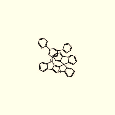 c1ccc(-c2cc(-c3ccccc3)cc(-n3c4ccccc4c4cn5c(c43)C3(c4ccccc4-c4ccccc43)c3ccccc3-5)c2)cc1